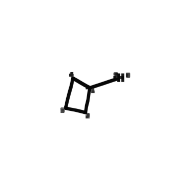 [2H][C]1CCC1